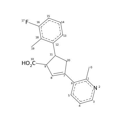 Cc1ncccc1C1=CC(C(=O)O)C(c2cccc(F)c2C)C1